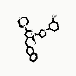 N#CC1CCCC(N2CCC(NC(=O)C(CC(=O)N3CCOCC3)CC3Cc4ccccc4C3)C2)C1